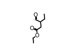 CCOC(=O)CC([C]=O)CC